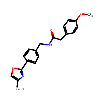 O=C(Cc1ccc(OC(F)(F)F)cc1)NCc1ccc(-c2nc(C(=O)O)co2)cc1